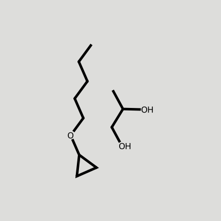 CC(O)CO.CCCCCOC1CC1